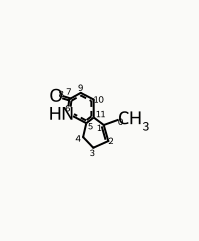 CC1=CCCc2[nH]c(=O)ccc21